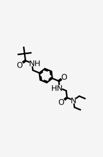 CCN(CC)C(=O)CNC(=O)c1ccc(CNC(=O)C(C)(C)C)cc1